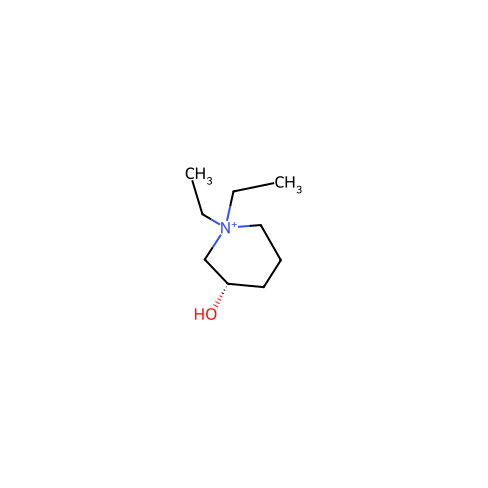 CC[N+]1(CC)CCC[C@H](O)C1